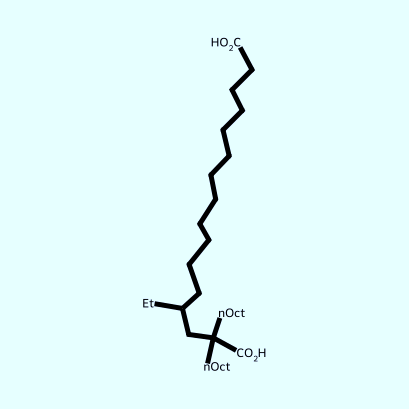 CCCCCCCCC(CCCCCCCC)(CC(CC)CCCCCCCCCCCC(=O)O)C(=O)O